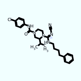 CC(C)C1CN(C(=O)Nc2ccc(Cl)cc2)CCN1/C(=N\C#N)NCCCCc1ccccc1